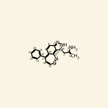 C=C(N)CN1NN=c2ccc3c(c21)N=NC=CC=3c1ccccc1